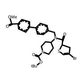 COC(=O)c1ccc(-c2ccc(CN(C(=O)C3CC(Br)=CS3)C3CCN(C(=O)OC(C)(C)C)CC3)cc2)cc1